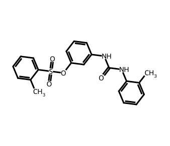 Cc1ccccc1NC(=O)Nc1cccc(OS(=O)(=O)c2ccccc2C)c1